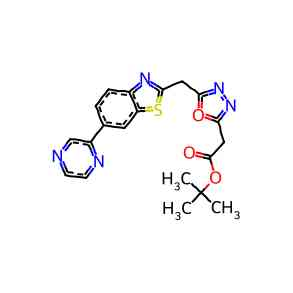 CC(C)(C)OC(=O)Cc1nnc(Cc2nc3ccc(-c4cnccn4)cc3s2)o1